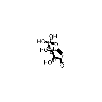 C#C.O=CC(O)CO.O=P(O)(O)O